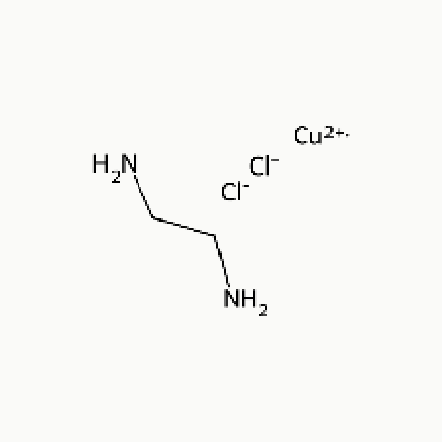 NCCN.[Cl-].[Cl-].[Cu+2]